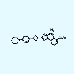 COc1cccc2c1nc(N)n1nc([C@H]3C[C@H](c4ccc(N5CCN(C)CC5)nc4)C3)nc21